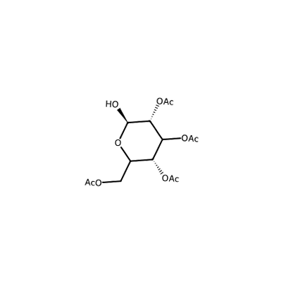 CC(=O)OCC1O[C@@H](O)[C@H](OC(C)=O)C(OC(C)=O)[C@@H]1OC(C)=O